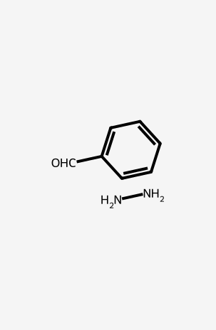 NN.O=Cc1ccccc1